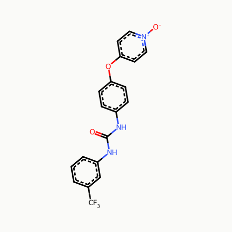 O=C(Nc1ccc(Oc2cc[n+]([O-])cc2)cc1)Nc1cccc(C(F)(F)F)c1